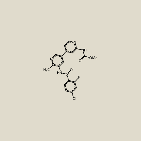 COC(=O)Nc1cc(-c2cnc(C)c(N[S+]([O-])c3ccc(Cl)cc3F)c2)ccn1